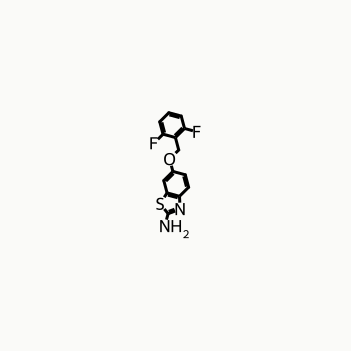 Nc1nc2ccc(OCc3c(F)cccc3F)cc2s1